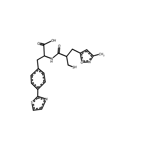 Cc1cc(CC(CS)C(=O)NC(Cc2ccc(-c3nccs3)cc2)C(=O)O)on1